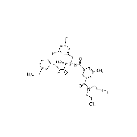 CCCN(CCC)C(=O)c1cc(C)cc(C(=O)N[C@@H](Cc2cc(F)cc(F)c2)[C@H](O)C2(NCc3cccc(CC)c3)CC2)c1